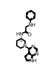 O=C(CNc1ccccc1)N[C@H]1CCCN(c2ncnc3[nH]ccc23)C1